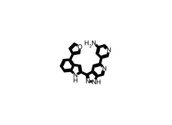 Nc1cncc(-c2cc3c(-c4cc5c(-c6ccoc6)cccc5[nH]4)n[nH]c3cn2)c1